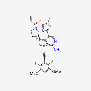 C=CC(=O)N1CC[C@H](n2nc(C#Cc3c(F)c(OC)cc(OC)c3F)c3c(N)ncc(-c4ncc(C)s4)c32)C1